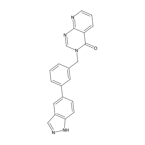 O=c1c2cccnc2ncn1Cc1cccc(-c2ccc3[nH]ncc3c2)c1